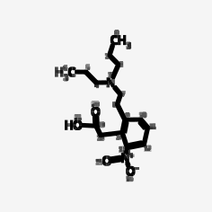 CCCN(CCC)CCc1cccc([N+](=O)[O-])c1CC(=O)O